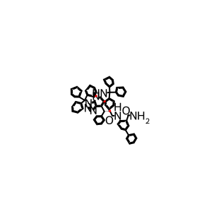 NC(=O)c1cc(-c2ccccc2)ccc1NC(=O)C[C@H](c1ccccc1)c1cc(NC(c2ccccc2)(c2ccccc2)c2ccccc2)nc2c1nnn2C(c1ccccc1)(c1ccccc1)c1ccccc1